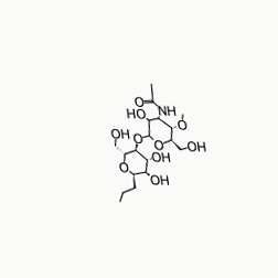 CCC[C@H]1O[C@H](CO)[C@@H](OC2O[C@H](CO)[C@@H](OC)[C@@H](NC(C)=O)[C@@H]2O)[C@H](O)[C@H]1O